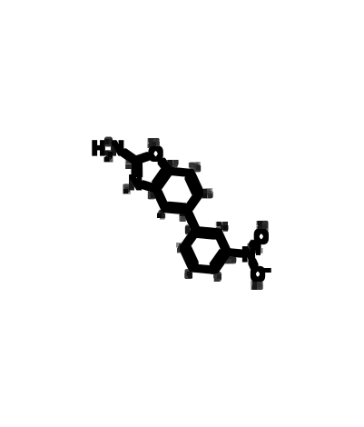 Nc1nc2cc(-c3cccc([N+](=O)[O-])c3)ccc2o1